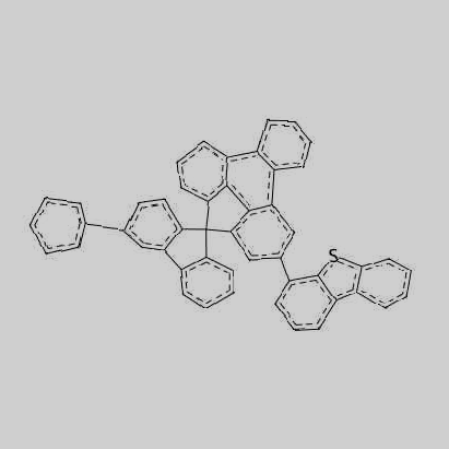 c1ccc(-c2ccc3c(c2)-c2ccccc2C32c3cccc4c5ccccc5c5cc(-c6cccc7c6sc6ccccc67)cc2c5c34)cc1